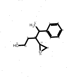 CC(c1ccccc1)C(CCO)C1CO1